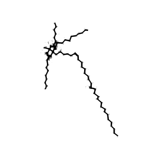 CCCCCCCCC=CC(=O)C([C]=O)(C(=O)CCCCCCCCCCC)C(CCCCC/C=C\CCCCCCCCC(=O)CCCCCCCCCCCCCCC)(C(C)=O)C(=O)CCCCCCC